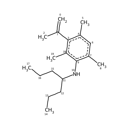 C=C(C)c1c(C)cc(C)c(NC(CCC)CCC)c1C